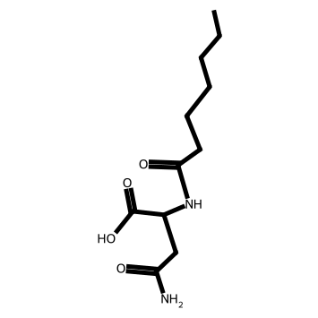 CCCCCCC(=O)NC(CC(N)=O)C(=O)O